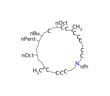 C=C1CCCCCCCN(CCC)CCCCCCCC(=C)CCC(CCCCCCCC)CCC(CCCCC)C(CCCC)CCCC(CCCCCCCC)CC1